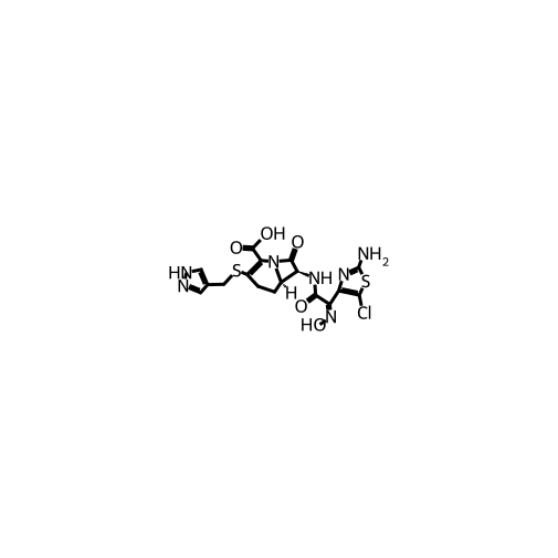 Nc1nc(/C(=N/O)C(=O)N[C@@H]2C(=O)N3C(C(=O)O)=C(SCc4cn[nH]c4)CC[C@H]23)c(Cl)s1